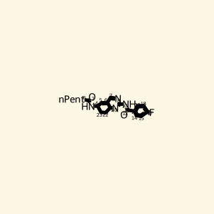 CCCCCC(=O)NC1C=C2C=NC(NC(=O)c3ccc(F)cc3)=NC2CC1